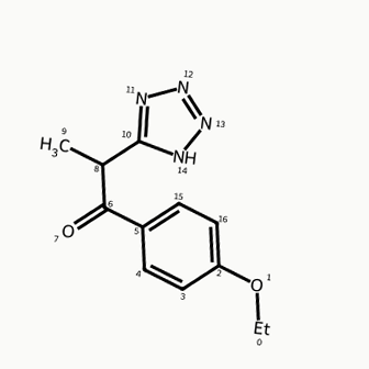 CCOc1ccc(C(=O)C(C)c2nnn[nH]2)cc1